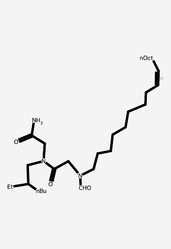 CCCCCCCC/C=C\CCCCCCCCN(C=O)CC(=O)N(CC(N)=O)CC(CC)CCCC